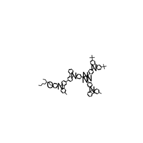 CCCCC(CC)COc1ccc(-n2c3ccc(C)cc3c3cc(-c4ccc5c(c4)c4ccccc4n5-c4ccc(-c5nc(-c6ccc(-n7c8ccccc8c8cc(C)ccc87)cc6)nc(-c6ccc(-n7c8ccc(C(C)(C)C)cc8c8cc(C(C)(C)C)ccc87)cc6)n5)cc4)ccc32)cc1